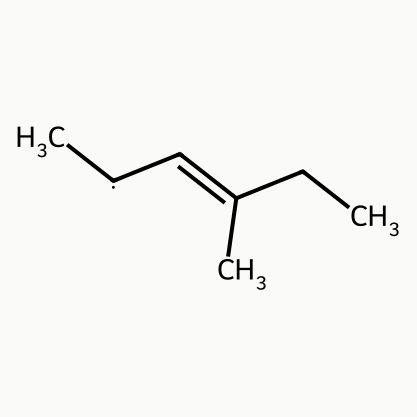 C[CH]/C=C(\C)CC